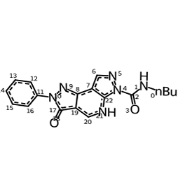 CCCCNC(=O)n1ncc2c3nn(-c4ccccc4)c(=O)c-3c[nH]c21